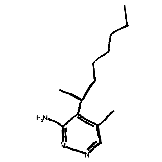 CCCCCCC(C)c1c(C)cnnc1N